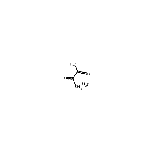 CC(=O)C(C)=O.S